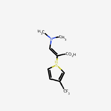 CN(C)/C=C(\C(=O)O)[SH]1C=CC(C(F)(F)F)=C1